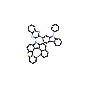 c1ccc(-n2c3ccccc3c3ccc(-c4nc5ccccc5nc4-n4c5ccc6cccc7c6c5c5c6c(ccc54)sc4cccc-7c46)cc32)cc1